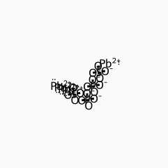 O=P([O-])([O-])[O-].O=P([O-])([O-])[O-].O=S(=O)([O-])[O-].O=S(=O)([O-])[O-].[Pb+2].[Pb+2].[Pb+2].[Pb+2].[Pb+2]